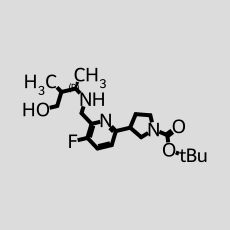 CC(CO)[C@@H](C)NCc1nc(C2CCN(C(=O)OC(C)(C)C)C2)ccc1F